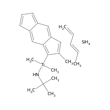 C=CC=CC.CC1=Cc2cc3c(cc2=[C]1[Ti]([CH3])([CH3])[NH]C(C)(C)C)C=CC=3.[SiH4]